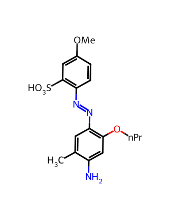 CCCOc1cc(N)c(C)cc1N=Nc1ccc(OC)cc1S(=O)(=O)O